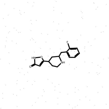 O=c1cc(C2CCNC(Cc3ccccc3F)C2)o[nH]1